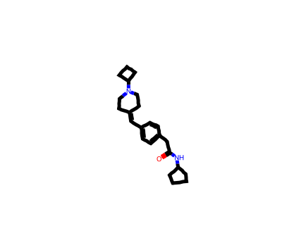 O=C(Cc1ccc(C=C2CCN(C3CCC3)CC2)cc1)NC1CCCC1